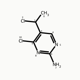 CC(Cl)c1cnc(N)nc1Cl